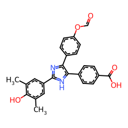 Cc1cc(-c2nc(-c3ccc(OC=O)cc3)c(-c3ccc(C(=O)O)cc3)[nH]2)cc(C)c1O